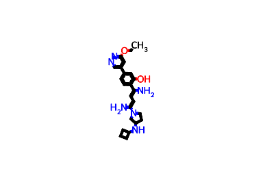 CCOc1cc(-c2ccc(/C(N)=C/C=C(\N)N3CCC(NC4CCC4)C3)c(O)c2)cnn1